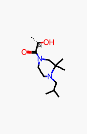 CC(C)CN1CCN(C(=O)[C@H](C)O)CC1(C)C